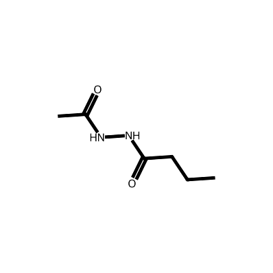 CCCC(=O)NNC(C)=O